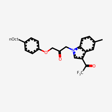 CCCCCCCCc1ccc(OCC(=O)Cn2cc(C(=O)C(F)(F)F)c3cc(C)ccc32)cc1